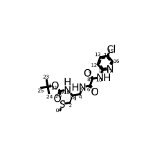 CSC[C@H](CNC(=O)C(=O)Nc1ccc(Cl)cn1)NC(=O)OC(C)(C)C